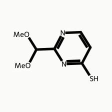 COC(OC)c1nccc(S)n1